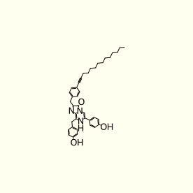 CCCCCCCCCCCCC#Cc1ccc(Cc2nc3c(Cc4ccc(O)cc4)[nH]c(-c4ccc(O)cc4)cn-3c2=O)cc1